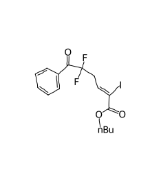 CCCCOC(=O)C(I)=CCC(F)(F)C(=O)c1ccccc1